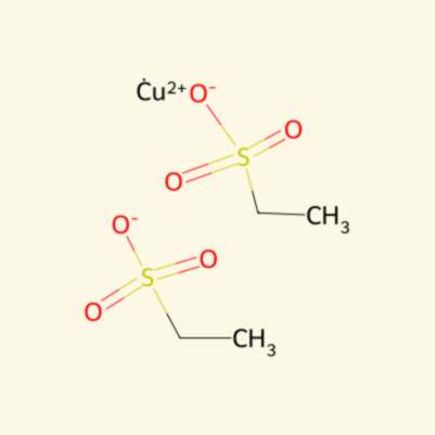 CCS(=O)(=O)[O-].CCS(=O)(=O)[O-].[Cu+2]